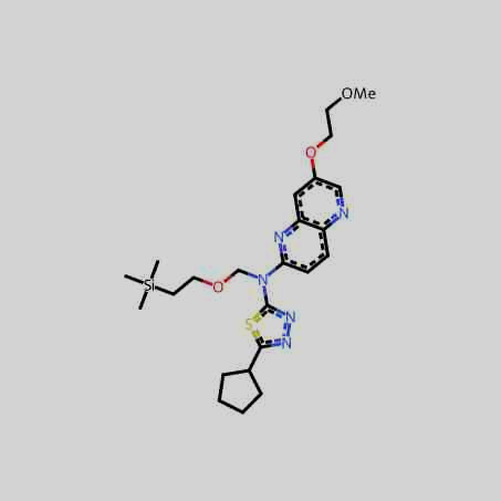 COCCOc1cnc2ccc(N(COCC[Si](C)(C)C)c3nnc(C4CCCC4)s3)nc2c1